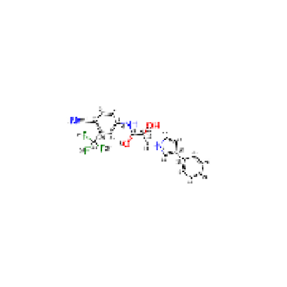 N#Cc1ccc(NC(=O)[C@@H](O)Cn2ccc(-c3ccccc3)c2)cc1C(F)(F)F